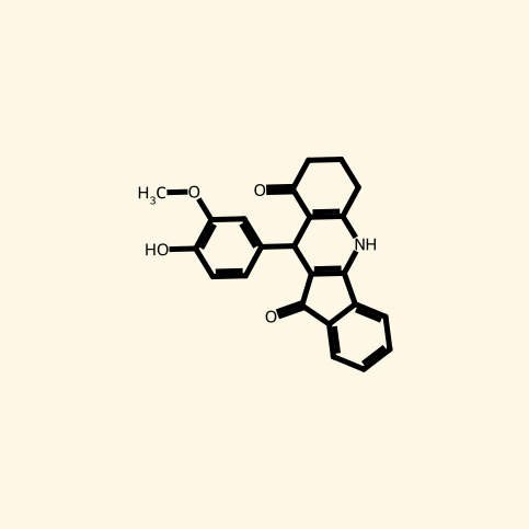 COc1cc(C2C3=C(CCCC3=O)NC3=C2C(=O)c2ccccc23)ccc1O